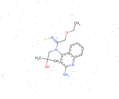 CCOC/C(=N/F)N(CC(C)(C)O)c1cc(N)nc2ccccc12